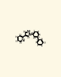 c1ccc(-c2cccc(-n3cc(-c4ccccn4)cn3)c2)cc1